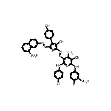 Cc1c(C#N)c(Nc2ccc(Cl)c(S(=O)(=O)O)c2)nc(Nc2ccc(Cl)cc2)c1N=Nc1sc(N=Nc2ccc3cccc(S(=O)(=O)O)c3c2)c(-c2ccc(O)cc2)c1C#N